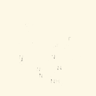 CCCOc1ccc(-c2cc(Cn3cc4nc(-c5cccc(F)c5F)nc-4c(N)n3)on2)cc1